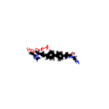 CC(O)c1nccn1C(/C=C/c1ccc(-c2ccc(C3CC(C(=O)NCC#N)C3)cc2)cc1)CO